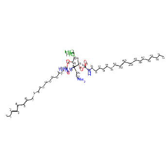 CCCCCCCCCCCCCCCCCCNC(=O)OC(C)C(N)(CCN)C(C)OC(=O)NCCCCCCCCCCCCCCCCCC.Cl.Cl